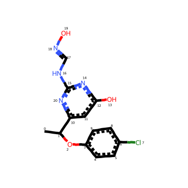 CC(Oc1ccc(Cl)cc1)c1cc(O)nc(NC=NO)n1